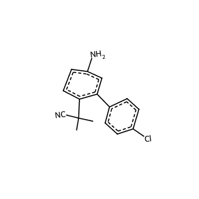 CC(C)(C#N)c1ccc(N)cc1-c1ccc(Cl)cc1